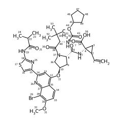 C=CC1C[C@]1(NC(=O)[C@@H]1C[C@@H](Oc2cc(-c3csc(NC(=O)C(C)C)n3)nc3c(Br)c(OC)ccc23)CN1C(=O)[C@@H](NC(=O)OC1CCCC1)C(C)(C)C)C(=O)O